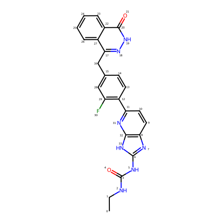 CCNC(=O)Nc1nc2ccc(-c3ccc(Cc4n[nH]c(=O)c5ccccc45)cc3F)nc2[nH]1